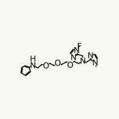 Cn1ccnc1CN(CCOCCOCCOCCNc1ccccc1)Cc1nccn1F